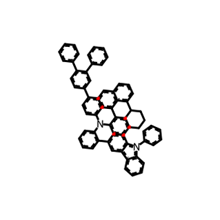 c1ccc(-c2ccc(-c3ccc(N(c4ccccc4-c4ccc5c(c4)c4ccccc4n5-c4ccccc4)c4ccccc4-c4cccc5cccc(C6CCCCC6)c45)cc3)cc2-c2ccccc2)cc1